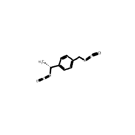 C[C@@H](N=C=O)c1ccc(CN=C=O)cc1